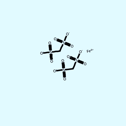 O=S(=O)([O-])CS(=O)(=O)[O-].O=S(=O)([O-])CS(=O)(=O)[O-].[Fe+4]